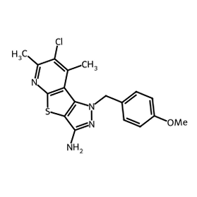 COc1ccc(Cn2nc(N)c3sc4nc(C)c(Cl)c(C)c4c32)cc1